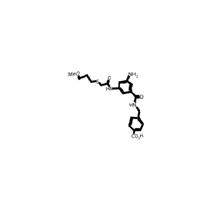 COCCCSCC(=O)Nc1cc(N)cc(C(=O)NCc2ccc(C(=O)O)cc2)c1